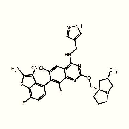 C[C@H]1CN2CCC[C@@]2(COc2nc(NCc3cn[nH]c3)c3cc(Cl)c(-c4ccc(F)c5sc(N)c(C#N)c45)c(F)c3n2)C1